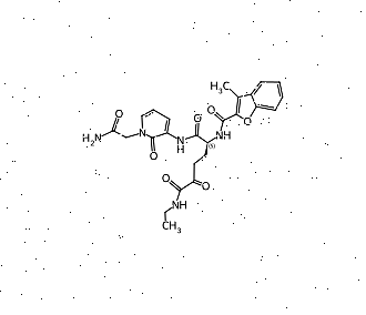 CCNC(=O)C(=O)CC[C@H](NC(=O)c1oc2ccccc2c1C)C(=O)Nc1cccn(CC(N)=O)c1=O